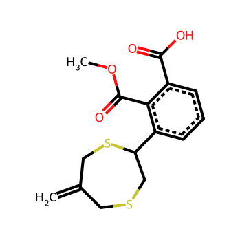 C=C1CSCC(c2cccc(C(=O)O)c2C(=O)OC)SC1